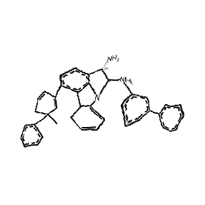 CC1(c2ccccc2)C=C(c2ccc3c4c2C2CC=CC=C2N4C(Nc2cccc(-c4ccccc4)c2)[C@H]3N)C=CC1